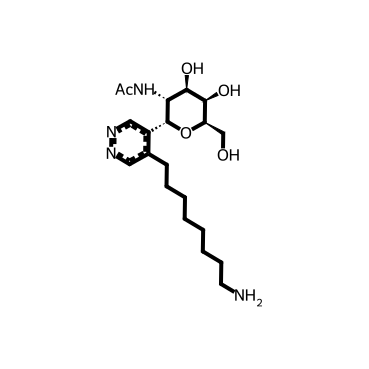 CC(=O)N[C@@H]1[C@@H](O)[C@@H](O)[C@@H](CO)O[C@@H]1c1cnncc1CCCCCCCCN